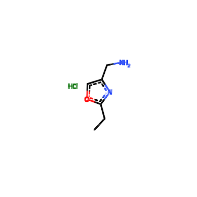 CCc1nc(CN)co1.Cl